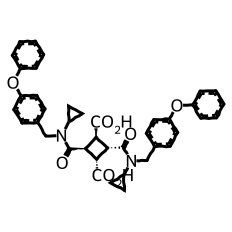 O=C(O)[C@H]1[C@H](C(=O)N(Cc2ccc(Oc3ccccc3)cc2)C2CC2)[C@H](C(=O)O)[C@H]1C(=O)N(Cc1ccc(Oc2ccccc2)cc1)C1CC1